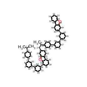 CC(C)c1ccc(-c2cccc(-c3cccc(-c4cccc5c4oc4cc(CC(C)c6ccc(-c7cccc(-c8cccc(-c9ccc%10c(c9)oc9ccccc9%10)c8)c7)cc6)ccc45)c3)c2)cc1